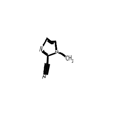 Cn1c[c]nc1C#N